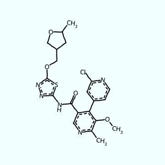 COc1c(C)ncc(C(=O)Nc2nnc(OCC3COC(C)C3)s2)c1-c1ccnc(Cl)c1